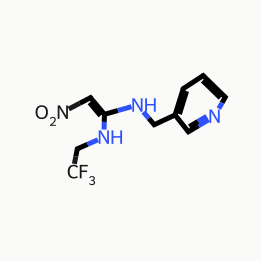 O=[N+]([O-])C=C(NCc1cccnc1)NCC(F)(F)F